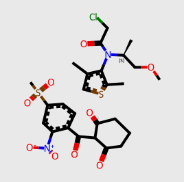 COC[C@H](C)N(C(=O)CCl)c1c(C)csc1C.CS(=O)(=O)c1ccc(C(=O)C2C(=O)CCCC2=O)c([N+](=O)[O-])c1